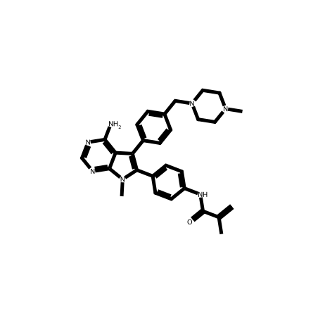 C=C(C)C(=O)Nc1ccc(-c2c(-c3ccc(CN4CCN(C)CC4)cc3)c3c(N)ncnc3n2C)cc1